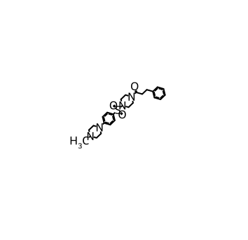 CN1CCN(c2ccc(S(=O)(=O)N3CCN(C(=O)CCc4ccccc4)CC3)cc2)CC1